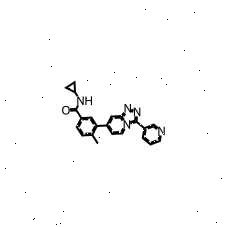 Cc1ccc(C(=O)NC2CC2)cc1-c1ccn2c(-c3cccnc3)nnc2c1